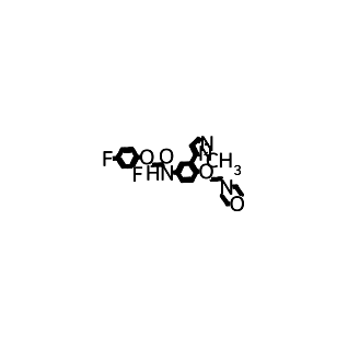 Cn1nccc1-c1cc(NC(=O)COc2ccc(F)cc2F)ccc1OCCN1CCOCC1